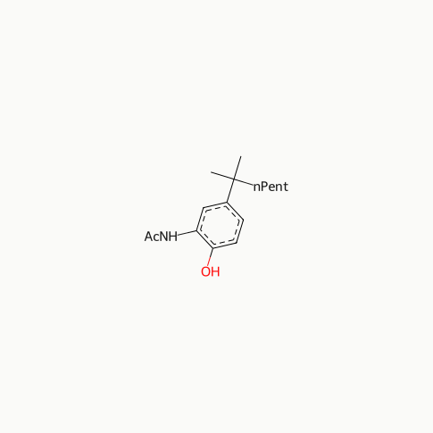 CCCCCC(C)(C)c1ccc(O)c(NC(C)=O)c1